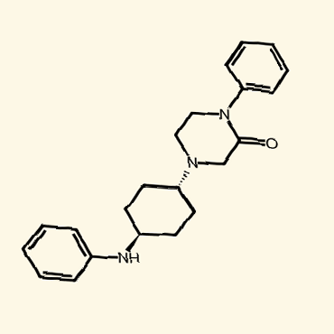 O=C1CN([C@H]2CC[C@H](Nc3ccccc3)CC2)CCN1c1ccccc1